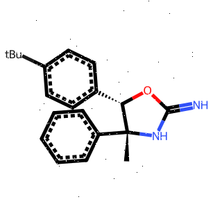 CC(C)(C)c1ccc([C@@H]2OC(=N)N[C@]2(C)c2ccccc2)cc1